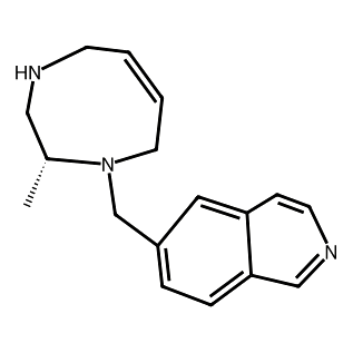 C[C@@H]1CNC/C=C\CN1Cc1ccc2cnccc2c1